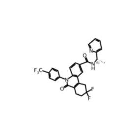 C[C@H](NC(=O)c1ccc2c(c1)c1c(c(=O)n2-c2ccc(C(F)(F)F)cc2)CCC(F)(F)C1)c1ccccn1